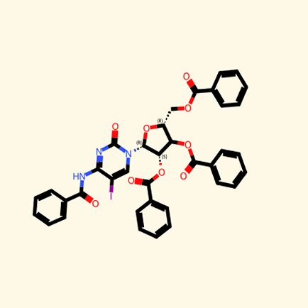 O=C(Nc1nc(=O)n([C@@H]2O[C@H](COC(=O)c3ccccc3)C(OC(=O)c3ccccc3)[C@@H]2OC(=O)c2ccccc2)cc1I)c1ccccc1